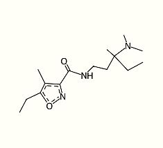 CCc1onc(C(=O)NCCC(C)(CC)N(C)C)c1C